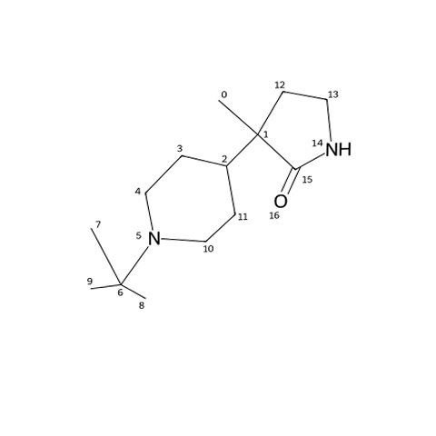 CC1(C2CCN(C(C)(C)C)CC2)CCNC1=O